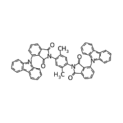 Cc1cc(N2C(=O)c3cccc(-n4c5ccccc5c5ccccc54)c3C2=O)c(C)cc1N1C(=O)c2cccc(-n3c4ccccc4c4ccccc43)c2C1=O